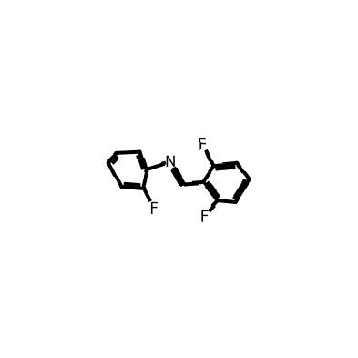 Fc1ccccc1/N=C/c1c(F)cccc1F